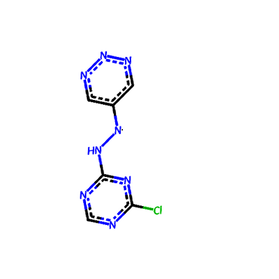 Clc1ncnc(N[N]c2cnnnc2)n1